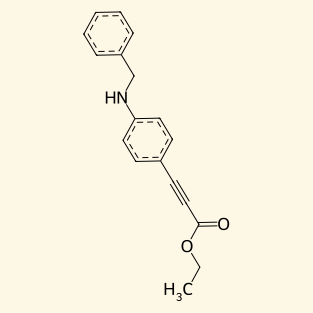 CCOC(=O)C#Cc1ccc(NCc2ccccc2)cc1